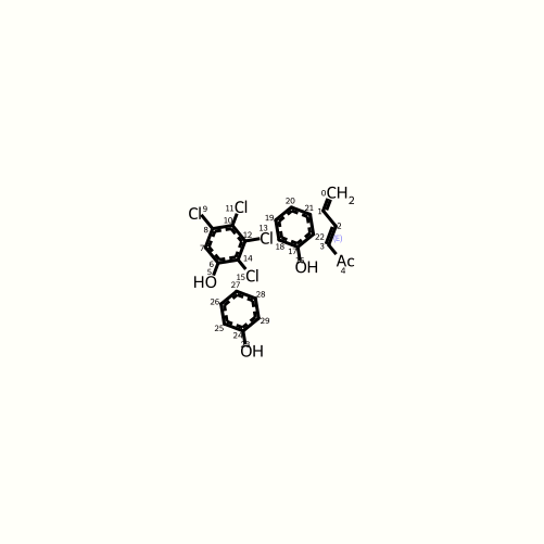 C=C/C=C/C(C)=O.Oc1cc(Cl)c(Cl)c(Cl)c1Cl.Oc1ccccc1.Oc1ccccc1